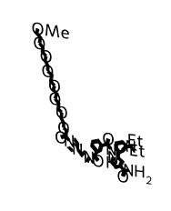 CCN(CC)c1ccc(NC(=O)c2cccc(C(=O)N(C)CCN3CCN(C(=O)COCCOCCOCCOCCOCCOCCOCCOC)CC3)c2)c(-c2cc(C(N)=O)ccn2)c1